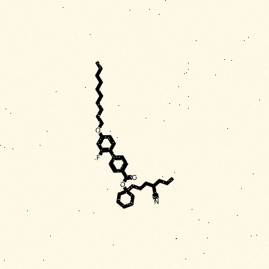 CCCCCCCCCCOc1ccc(-c2ccc(C(=O)OC3(CCCC(C#N)CCC)CCCCC3)cc2)c(F)c1